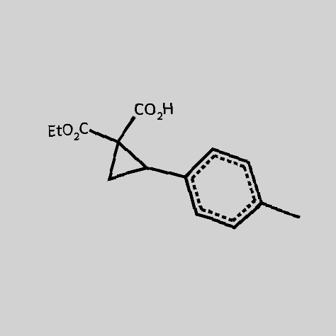 CCOC(=O)C1(C(=O)O)CC1c1ccc(C)cc1